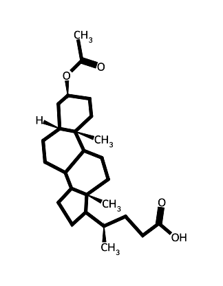 CC(=O)O[C@H]1CC[C@]2(C)C3CC[C@@]4(C)C(CCC4[C@H](C)CCC(=O)O)C3CC[C@@H]2C1